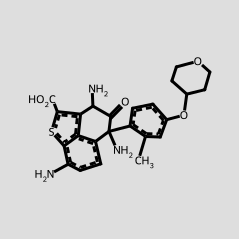 Cc1cc(OC2CCOCC2)ccc1C1(N)C(=O)C(N)c2c(C(=O)O)sc3c(N)ccc1c23